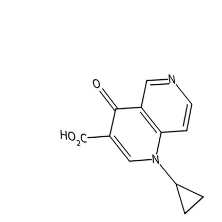 O=C(O)c1cn(C2CC2)c2ccncc2c1=O